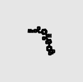 COC(=O)Cc1cccc(NC(=O)c2ccc(-c3ccc4c(c3)OCO4)o2)c1